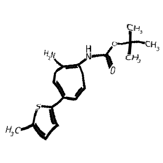 Cc1ccc(-c2ccc(NC(=O)OC(C)(C)C)c(N)c2)s1